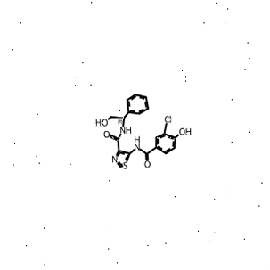 O=C(Nc1scnc1C(=O)N[C@@H](CO)c1ccccc1)c1ccc(O)c(Cl)c1